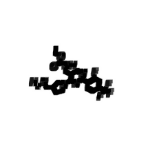 CCOC(=O)NCc1cnc(-c2ccc(C(F)(F)F)cc2F)nc1N1CCC(CN)C1